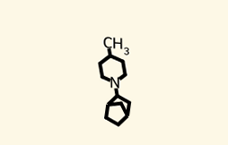 CC1CCN(C2CC3CCC2C3)CC1